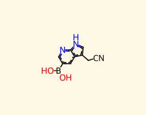 N#CCc1c[nH]c2ncc(B(O)O)cc12